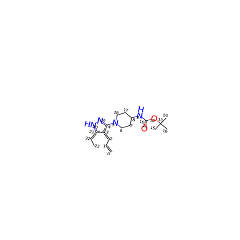 C=C/C=c1/c(N2CCC(NC(=O)OC(C)(C)C)CC2)n[nH]/c1=C/C